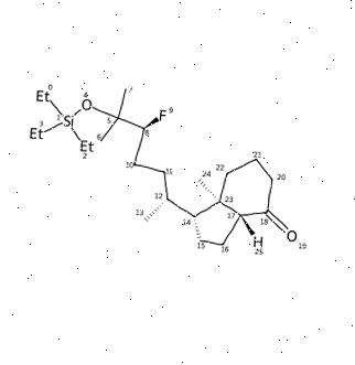 CC[Si](CC)(CC)OC(C)(C)[C@@H](F)CC[C@@H](C)[C@H]1CC[C@H]2C(=O)CCC[C@]12C